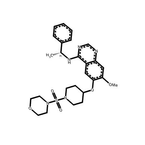 COc1cc2ncnc(N[C@H](C)c3ccccc3)c2cc1OC1CCN(S(=O)(=O)N2CCOCC2)CC1